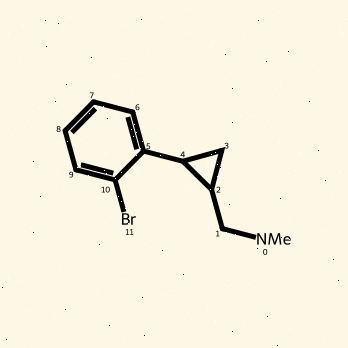 CNCC1CC1c1ccccc1Br